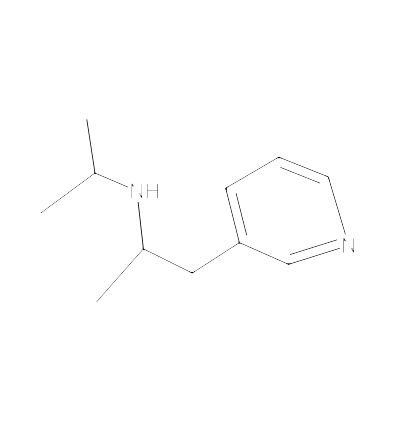 CC(C)NC(C)Cc1cccnc1